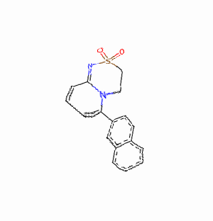 O=S1(=O)CCN2C(c3ccc4ccccc4c3)=CC=CC2=N1